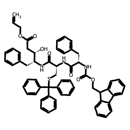 C=CCOC(=O)C[C@H](O)[C@@H](Cc1ccccc1)NC(=O)[C@@H](CSC(c1ccccc1)(c1ccccc1)c1ccccc1)NC(=O)[C@H](Cc1ccccc1)NC(=O)OCC1c2ccccc2-c2ccccc21